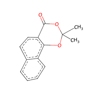 CC1(C)OC(=O)c2ccc3ccccc3c2O1